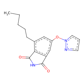 CCCCCc1cc(On2cccn2)cc2c1C(=O)NC2=O